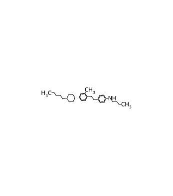 CCCCC[C@H]1CC[C@H](c2ccc(CCc3ccc(NCCCC)cc3)c(C)c2)CC1